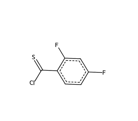 Fc1ccc(C(=S)Cl)c(F)c1